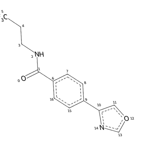 O=C(NCCC(F)(F)F)c1ccc(-c2cocn2)cc1